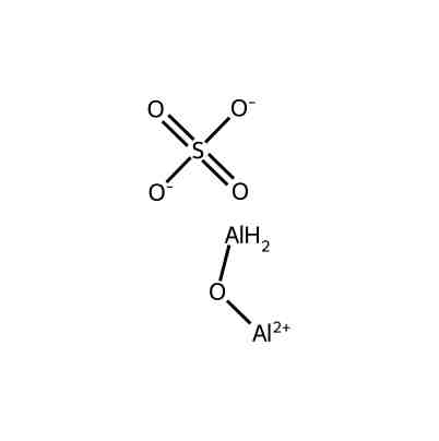 O=S(=O)([O-])[O-].[Al+2][O][AlH2]